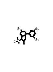 CC1=Cc2c(-c3cc(C(C)(C)C)cc(C(C)(C)C)c3)cc(C(C)(C)C)cc2C1S(C)(C)Cl